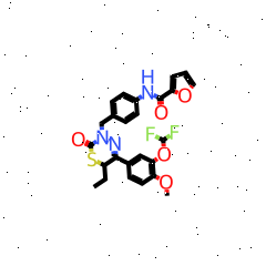 CCC1SC(=O)N(Cc2ccc(NC(=O)c3ccco3)cc2)N=C1c1ccc(OC)c(OC(F)F)c1